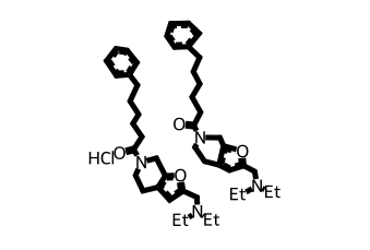 CCN(CC)Cc1cc2c(o1)CN(C(=O)CCCCCc1ccccc1)CC2.CCN(CC)Cc1cc2c(o1)CN(C(=O)CCCCCc1ccccc1)CC2.Cl